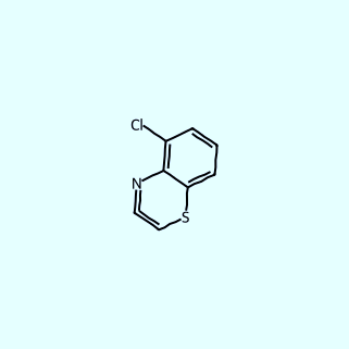 Clc1cccc2c1N=C=CS2